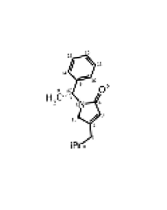 CC(C)CC1=CC(=O)N([C@H](C)c2ccccc2)C1